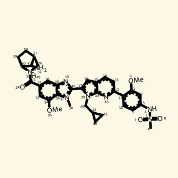 COc1cc(NS(C)(=O)=O)ccc1-c1ccc2cc(-c3nc4cc(C(=O)N5CC6CCC5[C@@H]6N)cc(OC)c4n3C)n(CC3CC3)c2n1